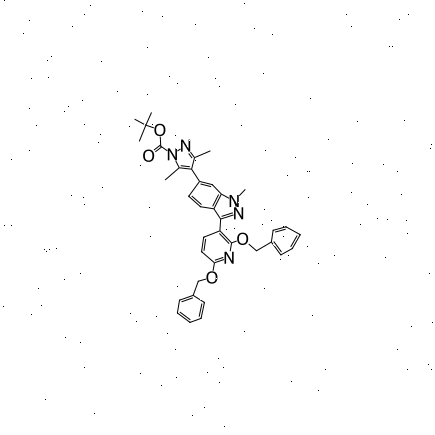 Cc1nn(C(=O)OC(C)(C)C)c(C)c1-c1ccc2c(-c3ccc(OCc4ccccc4)nc3OCc3ccccc3)nn(C)c2c1